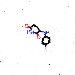 O=C1CCC(Nc2ccc(I)cc2)C(=O)N1